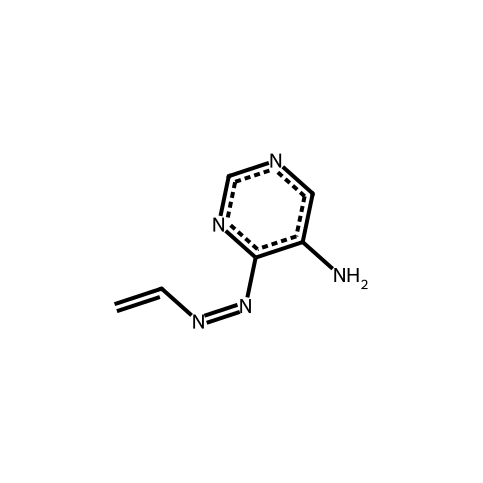 C=C/N=N\c1ncncc1N